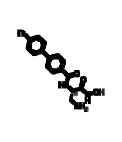 CCc1ccc(-c2ccc(C(=O)N[C@@H](CN)C(=O)NO)cc2)cc1